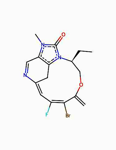 C=C1OC[C@H](CC)n2c3c(n(C)c2=O)C=N/C(=C/C(F)=C\1Br)C3